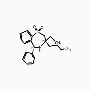 CCCC[C@]1(CC)CS(=O)(=O)c2ccccc2[C@@H](c2ccncc2)N1